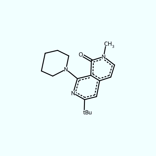 Cn1ccc2cc(C(C)(C)C)nc(N3CCCCC3)c2c1=O